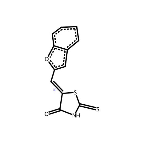 O=C1NC(=S)S/C1=C\c1cc2ccccc2o1